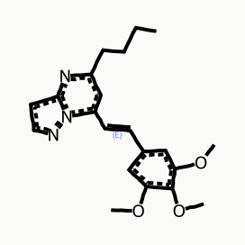 CCCCc1cc(/C=C/c2cc(OC)c(OC)c(OC)c2)n2nccc2n1